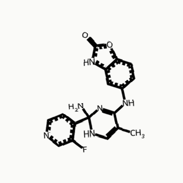 CC1=CNC(N)(c2ccncc2F)N=C1Nc1ccc2oc(=O)[nH]c2c1